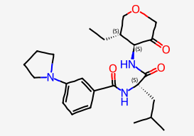 CC[C@@H]1COCC(=O)[C@H]1NC(=O)[C@H](CC(C)C)NC(=O)c1cccc(N2CCCC2)c1